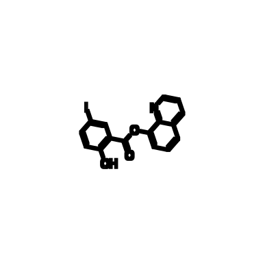 O=C(Oc1cccc2cccnc12)c1cc(I)ccc1O